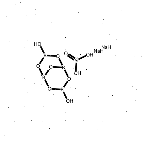 O=[Si](O)O.OB1OB2OB(O)OB(O1)O2.[NaH].[NaH]